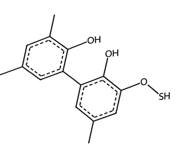 Cc1cc(C)c(O)c(-c2cc(C)cc(OS)c2O)c1